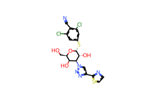 N#Cc1c(Cl)cc(S[C@H]2O[C@H](CO)[C@H](O)[C@H](n3cc(-c4nccs4)nn3)[C@H]2O)cc1Cl